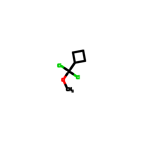 CO[Si](Cl)(Cl)C1CCC1